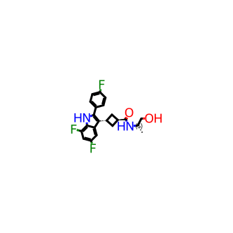 C[C@@H](CO)NC(=O)[C@H]1C[C@H](c2c(-c3ccc(F)cc3)[nH]c3c(F)cc(F)cc32)C1